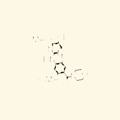 COc1cc(Nc2ncc(Cl)c(OC)n2)c(Cl)cc1C(=O)N1CCOCC1